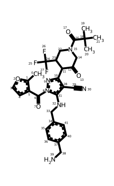 Cc1occc1C(=O)n1nc(C2C(=O)CN(C(=O)C(C)(C)C)CC2C(F)(F)F)c(C#N)c1NCc1ccc(CN)cc1